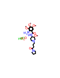 COc1cc(C(=O)NC2CCN(CCCC(=O)N3CCCC3)CC2OC)c(N)c(OC)c1OC.Cl.Cl.O